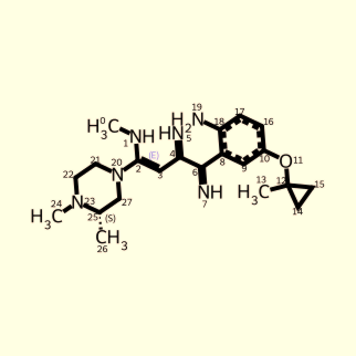 CN/C(=C\C(=N)C(=N)c1cc(OC2(C)CC2)ccc1N)N1CCN(C)[C@@H](C)C1